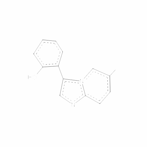 Oc1[c]cccc1-c1cnc2ccc(F)cn12